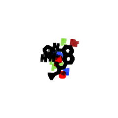 Fc1c(Br)cccc1CN[C@H]1[C@@H]2CC[C@H]1C[C@H](OCc1c(-c3ccccc3OC(F)(F)F)noc1C1CC1)C2